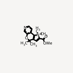 COC(=O)C1=CC2=C(c3ccncc3OC2(C)C)[N+]1(C)C